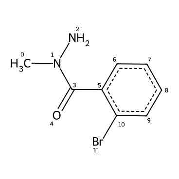 CN(N)C(=O)c1ccccc1Br